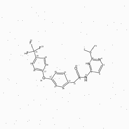 CC(C)c1nccc(NC(=O)Cc2ccc(Oc3ccc(C(F)(F)F)cc3)cc2)n1